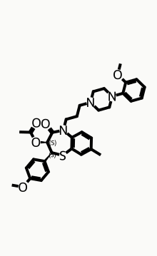 COc1ccc([C@@H]2Sc3cc(C)ccc3N(CCCN3CCN(c4ccccc4OC)CC3)C(=O)[C@@H]2OC(C)=O)cc1